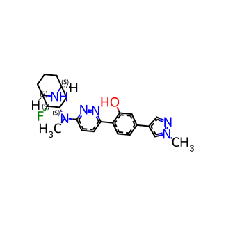 CN(c1ccc(-c2ccc(-c3cnn(C)c3)cc2O)nn1)[C@H]1C[C@@H]2CCC[C@@H](N2)[C@@H]1F